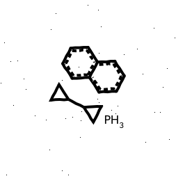 C1CC1C1CC1.P.c1ccc2ccccc2c1